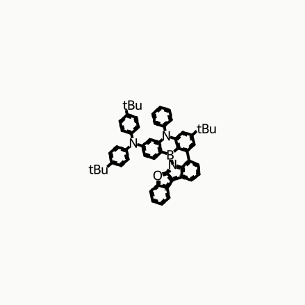 CC(C)(C)c1ccc(N(c2ccc(C(C)(C)C)cc2)c2ccc3c(c2)N(c2ccccc2)c2cc(C(C)(C)C)cc4c2B3n2c3oc5ccccc5c3c3cccc-4c32)cc1